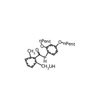 CCCCCOc1ccc(PC(=O)c2c(C)cccc2C)c(OCCCCC)c1.[LiH]